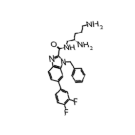 NCCC[C@H](N)CNC(=O)c1nc2ccc(-c3ccc(F)c(F)c3)cc2n1Cc1ccccc1